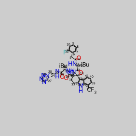 CCC(C)[C@H](NC(=O)Cc1ccccc1F)C(=O)N[C@]1(C(=O)NC(C(=O)NCCn2cnnn2)[C@@H](C)CC)CCc2[nH]c3c(C(F)(F)F)cccc3c2C1